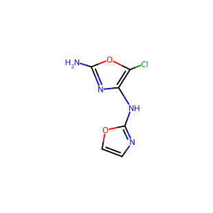 Nc1nc(Nc2ncco2)c(Cl)o1